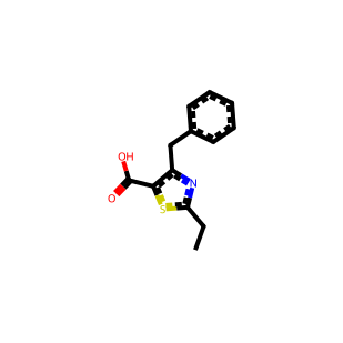 CCc1nc(Cc2ccccc2)c(C(=O)O)s1